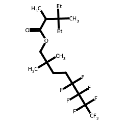 CCC(C)(CC)C(C)C(=O)OCC(C)(C)CCC(F)(F)C(F)(F)C(F)(F)C(F)(F)F